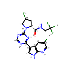 O=C(NCC(F)(F)F)[C@H]1C[C@H](F)CN1c1ncnc(-c2c[nH]c3ncc(F)cc23)n1